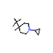 CC(C)(C)C1(C)CCN(C2CC2)CC1